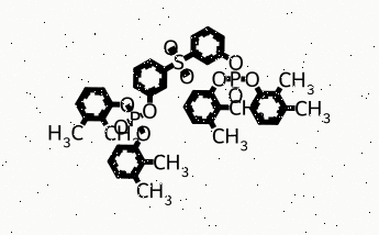 Cc1cccc(OP(=O)(Oc2cccc(S(=O)(=O)c3cccc(OP(=O)(Oc4cccc(C)c4C)Oc4cccc(C)c4C)c3)c2)Oc2cccc(C)c2C)c1C